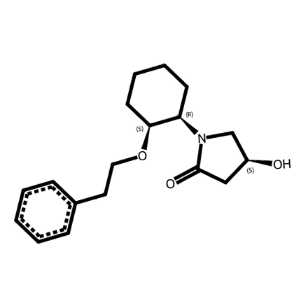 O=C1C[C@H](O)CN1[C@@H]1CCCC[C@@H]1OCCc1ccccc1